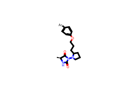 CC(=O)c1ccc(OCCCC2CCCN2N2C(=O)N[C@@H](C)C2=O)cc1